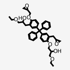 CCOCC(O)COc1ccc(C(c2ccccc2)(c2ccccc2)c2ccc(OCC3CO3)c(CC(O)COCC)c2)cc1CC1CO1